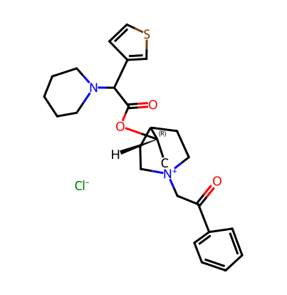 O=C(C[N+]12CCC(CC1)[C@@H](OC(=O)C(c1ccsc1)N1CCCCC1)C2)c1ccccc1.[Cl-]